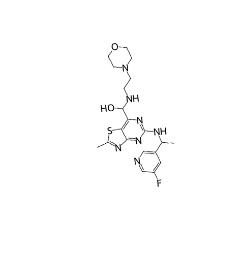 Cc1nc2nc(NC(C)c3cncc(F)c3)nc(C(O)NCCN3CCOCC3)c2s1